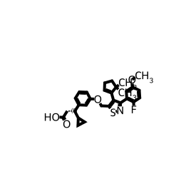 COc1ccc(F)c(-c2nsc(COc3cccc([C@@H](CC(=O)O)C4CC4)c3)c2C2=CCCC2(C)C)c1